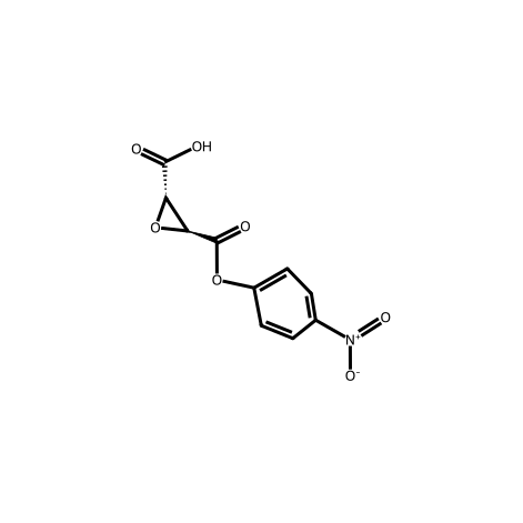 O=C(O)[C@H]1O[C@@H]1C(=O)Oc1ccc([N+](=O)[O-])cc1